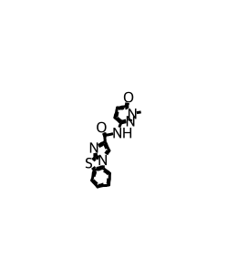 Cn1nc(NC(=O)c2cn3c(n2)sc2ccccc23)ccc1=O